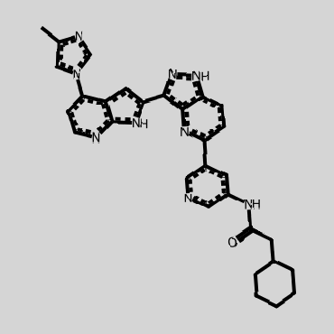 Cc1cn(-c2ccnc3[nH]c(-c4n[nH]c5ccc(-c6cncc(NC(=O)CC7CCCCC7)c6)nc45)cc23)cn1